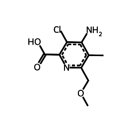 COCc1nc(C(=O)O)c(Cl)c(N)c1C